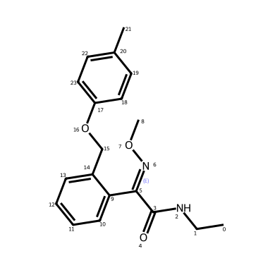 CCNC(=O)/C(=N/OC)c1ccccc1COc1ccc(C)cc1